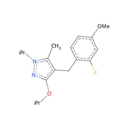 COc1ccc(Cc2c(OC(C)C)nn(C(C)C)c2C)c(F)c1